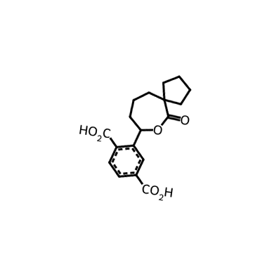 O=C(O)c1ccc(C(=O)O)c(C2CCCC3(CCCC3)C(=O)O2)c1